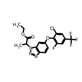 CCOC(=O)C(C)n1nnc2ccc(Oc3c(F)cc(C(F)(F)F)cc3Cl)cc21